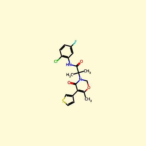 CC1=C(c2ccsc2)C(=O)N(C(C)(C)C(=O)Nc2cc(F)ccc2Cl)CO1